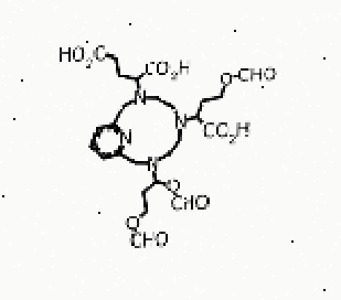 O=COCCC(OC=O)N1CCN(C(CCOC=O)C(=O)O)CCN(C(CCC(=O)O)C(=O)O)Cc2cccc(n2)C1